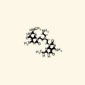 CNc1nc2c(c(N)nc(=O)n2CCN(CCN)CCn2c(=O)nc(N)c3c(=O)[nH]c(NC)nc32)c(=O)[nH]1